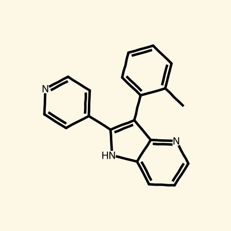 Cc1ccccc1-c1c(-c2ccncc2)[nH]c2cccnc12